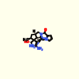 C[C@H]1C[C@H]2CN3C(=O)c4cccn4C4NC(N)=NC43[C@H]2[C@@]12C=C(N)N[C@@H]2O